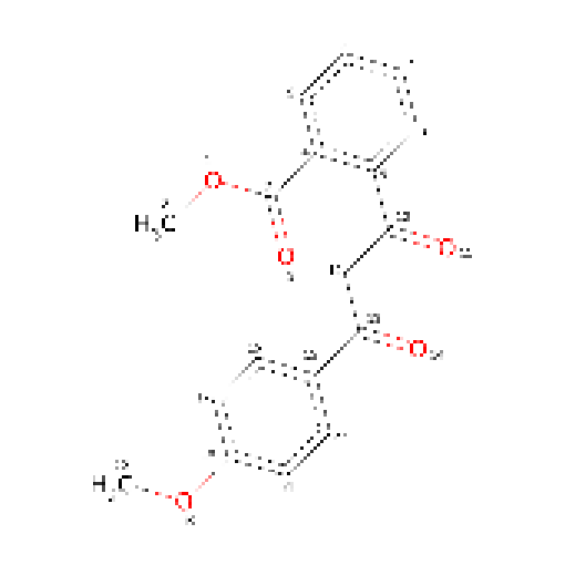 COC(=O)c1ccccc1C(=O)CC(=O)c1ccc(OC)cc1